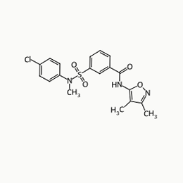 Cc1noc(NC(=O)c2cccc(S(=O)(=O)N(C)c3ccc(Cl)cc3)c2)c1C